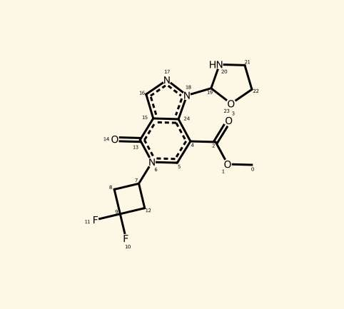 COC(=O)c1cn(C2CC(F)(F)C2)c(=O)c2cnn(C3NCCO3)c12